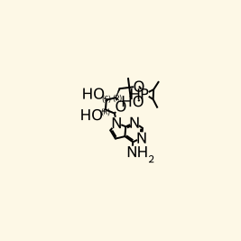 CC1C(C)[PH]1(O)OC(C)(C)C[C@H]1OC(n2ccc3c(N)ncnc32)[C@H](O)[C@@H]1O